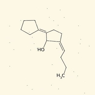 CCCC=C1CCC(=C2CCCC2)C1O